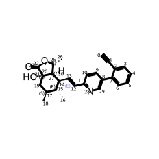 C#Cc1ccccc1-c1ccc(/C=C/[C@H]2[C@H](C)[C@@H](C)C[C@@]3(O)C(=O)O[C@H](C)[C@@H]23)nc1